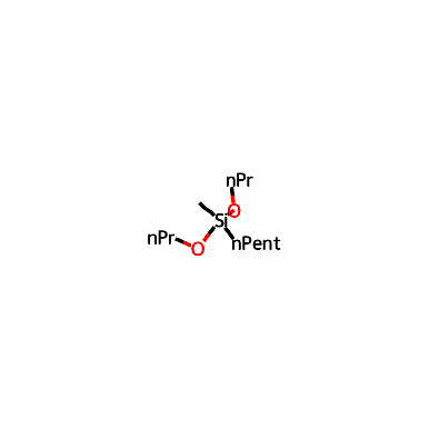 CCCCC[Si](C)(OCCC)OCCC